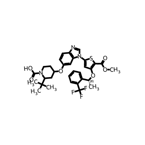 COC(=O)c1sc(-n2cnc3ccc(OC4CCN(C(=O)O)C(C(C)(C)C)C4)cc32)cc1O[C@H](C)c1ccccc1C(F)(F)F